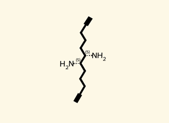 C#CCCC[C@H](N)[C@@H](N)CCCC#C